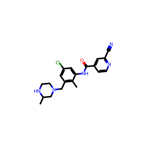 Cc1c(CN2CCNC(C)C2)cc(Cl)cc1NC(=O)c1ccnc(C#N)c1